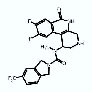 CN(C(=O)N1Cc2ccc(C(F)(F)F)cc2C1)[C@@H]1CNCc2[nH]c(=O)c3cc(F)c(F)cc3c21